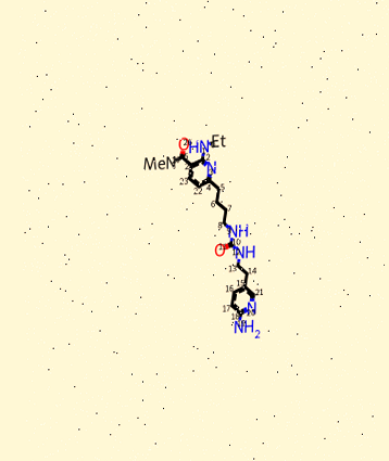 CCNc1nc(CCCCNC(=O)NCCc2ccc(N)nc2)ccc1C(=O)NC